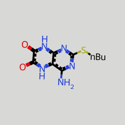 CCCCSc1nc(N)c2[nH]c(=O)c(=O)[nH]c2n1